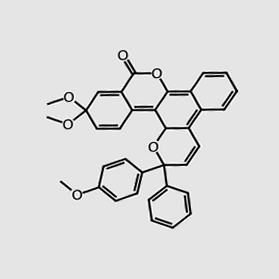 COc1ccc(C2(c3ccccc3)C=CC3=c4ccccc4=c4oc(=O)c5c(c4C3O2)C=CC(OC)(OC)C=5)cc1